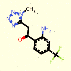 Cn1nnnc1CC(=O)c1ccc(C(F)(F)F)cc1N